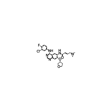 CN(C)CC=CC(=O)Nc1cc2c(Nc3ccc(F)c(Cl)c3)ncnc2cc1O[C@H]1CCOC1